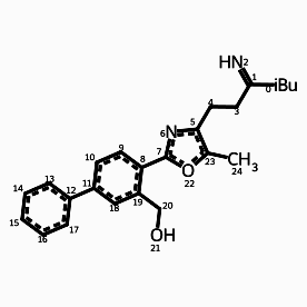 CCC(C)C(=N)CCc1nc(-c2ccc(-c3ccccc3)cc2CO)oc1C